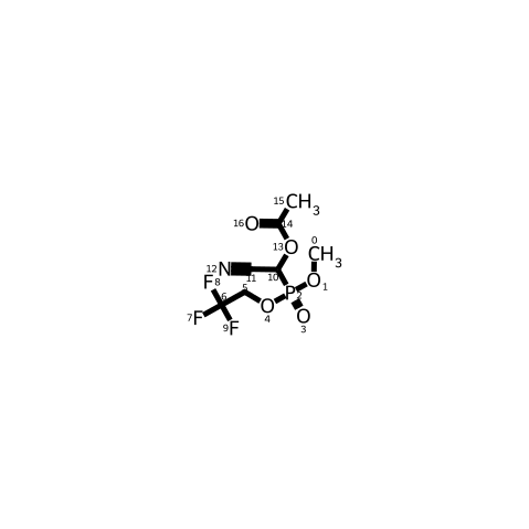 COP(=O)(OCC(F)(F)F)C(C#N)OC(C)=O